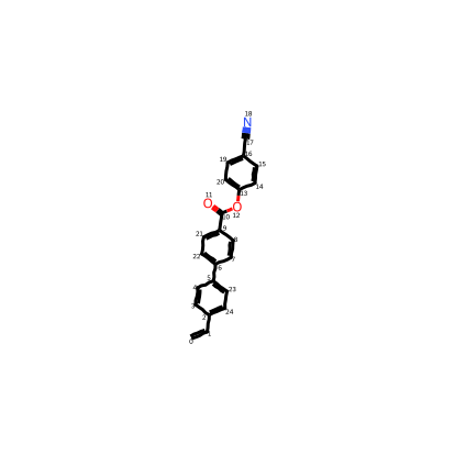 C=Cc1ccc(-c2ccc(C(=O)Oc3ccc(C#N)cc3)cc2)cc1